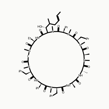 C/C=C/CC(C)[C@@H](O)C1C(=O)N[C@H](CC)C(=O)N(C)CC(=O)N(C)[C@H](CC(C)C)C(=O)N[C@H](C(C)C)C(=O)N(C)[C@H](CC(C)C)C(=O)N[C@H](C)C(=O)N[C@@H](C)C(=O)N(C)[C@H](C)C(=O)N(C)[C@H](CC(C)C)C(=O)N(C)[C@H](C(C)C)C(=O)N1C